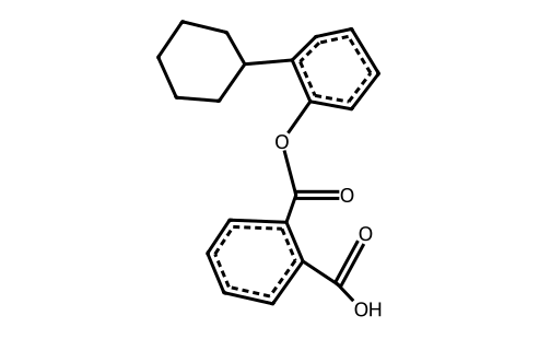 O=C(O)c1ccccc1C(=O)Oc1ccccc1C1CCCCC1